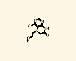 COCCN1CC(=O)Nc2ncnc(Cl)c21